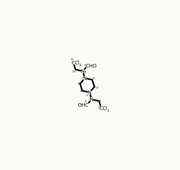 O=CN(CC(Cl)(Cl)Cl)N1CCN(N(C=O)CC(Cl)(Cl)Cl)CC1